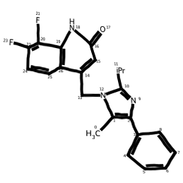 Cc1c(-c2ccccc2)nc(C(C)C)n1Cc1cc(=O)[nH]c2c(F)c(F)ccc12